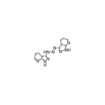 c1cnc2[nH]nc(N=NNc3n[nH]c4ncccc34)c2c1